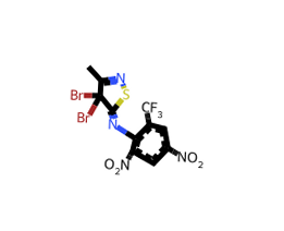 CC1=NSC(=Nc2c([N+](=O)[O-])cc([N+](=O)[O-])cc2C(F)(F)F)C1(Br)Br